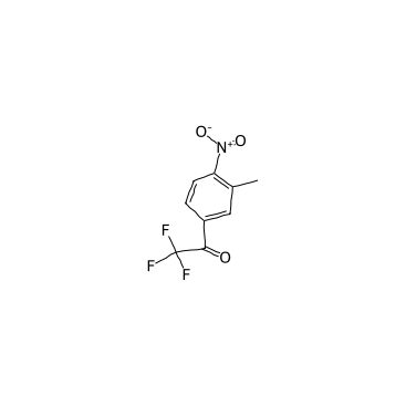 Cc1cc(C(=O)C(F)(F)F)ccc1[N+](=O)[O-]